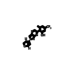 Cc1cc(C(F)(F)F)cc(O)c1-c1cnc2cn([C@@H]3C[C@@H]4C[C@H]3CO4)nc2n1